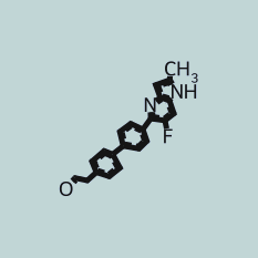 Cc1cc2nc(-c3ccc(-c4ccc(CC=O)cc4)cc3)c(F)cc2[nH]1